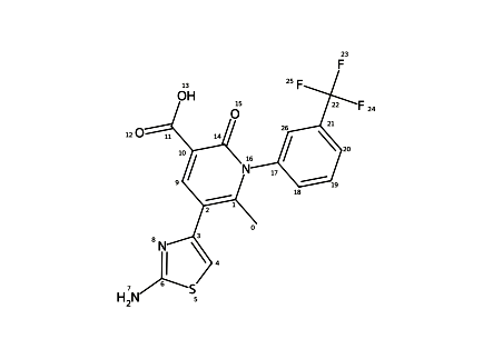 Cc1c(-c2csc(N)n2)cc(C(=O)O)c(=O)n1-c1cccc(C(F)(F)F)c1